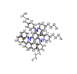 CCCCc1ccc(N2c3ccc(CCCC)cc3B3c4cc(CCCC)ccc4N(c4ccc(CCCC)cc4)c4cc(N(c5ccccc5)c5c(-c6ccccc6)ccc6ccccc56)cc2c43)cc1